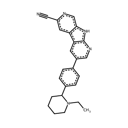 CCN1CCCCC1c1ccc(-c2cnc3[nH]c4cnc(C#N)cc4c3c2)cc1